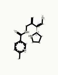 C=C(CNC(=O)c1ccc(C)nc1)/C(=C\CC)[C@@H]1CCCN1